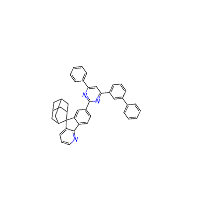 c1ccc(-c2cccc(-c3cc(-c4ccccc4)nc(-c4ccc5c(c4)C4(c6cccnc6-5)C5CC6CC(C5)CC4C6)n3)c2)cc1